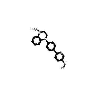 CC(C)Oc1ccc(-c2ccc(N3CCN(C(=O)O)c4ccccc43)cc2)nc1